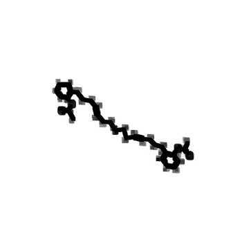 CC(=O)Oc1ccccc1CCCC#CCCSCCC#CCCCc1ccccc1OC(C)=O